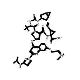 C=CC1C[C@]1(NC(=O)C1C[C@@H](Oc2cc(-n3ccc(NC(C)C)n3)nc3cc(OCCN(C)C)ccc23)CN1C(=O)[C@@H](NC(=O)OC1CC2CC2C1)C(C)(C)C)C(=O)O